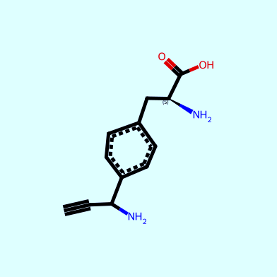 C#CC(N)c1ccc(C[C@H](N)C(=O)O)cc1